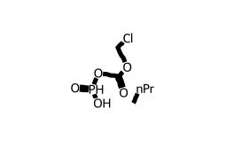 CCCC.O=C(OCCl)O[PH](=O)O